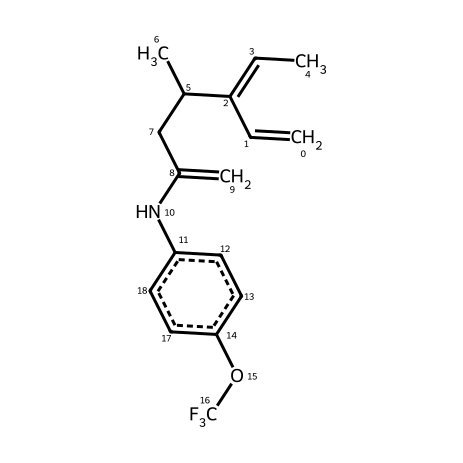 C=C/C(=C\C)C(C)CC(=C)Nc1ccc(OC(F)(F)F)cc1